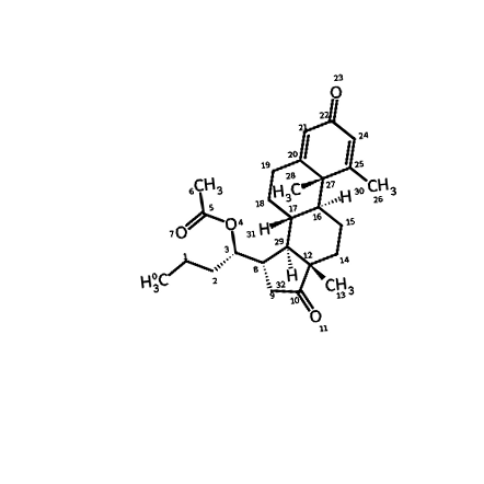 CCC[C@H](OC(C)=O)[C@H]1CC(=O)[C@@]2(C)CC[C@H]3[C@@H](CCC4=CC(=O)C=C(C)[C@@]43C)[C@H]12